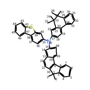 CC1(C)c2ccccc2-c2c1ccc1cc(N(c3ccc4c(c3)C(C)(C)C(C)(C)c3ccccc3-4)c3ccc4c(c3)sc3ccccc34)ccc21